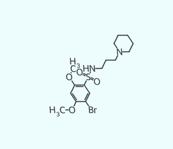 COc1cc(OC)c(S(=O)(=O)NCCCN2CCCCC2)cc1Br